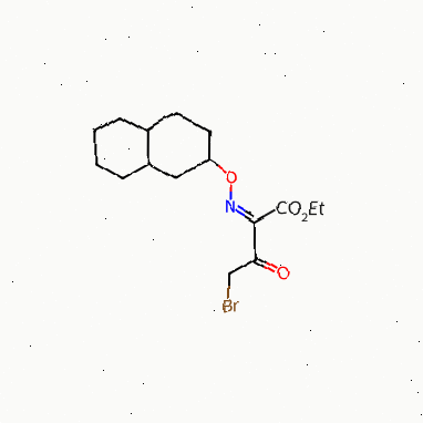 CCOC(=O)/C(=N\OC1CCC2CCCCC2C1)C(=O)CBr